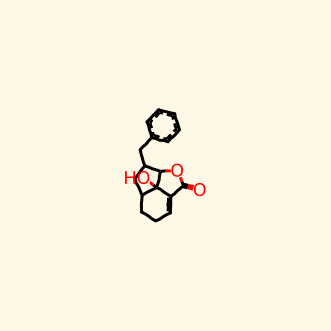 O=C1OC2C(Cc3ccccc3)CC3CCC=C1C32O